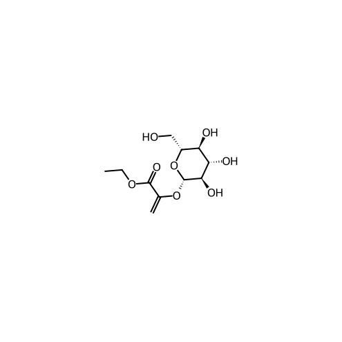 C=C(O[C@@H]1O[C@H](CO)[C@@H](O)[C@H](O)[C@H]1O)C(=O)OCC